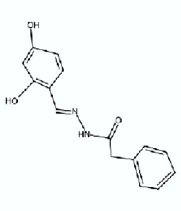 O=C(Cc1ccccc1)NN=Cc1ccc(O)cc1O